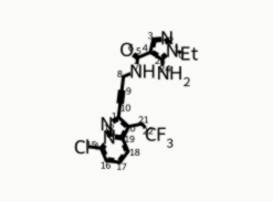 CCn1ncc(C(=O)NCC#Cc2nn3c(Cl)cccc3c2CC(F)(F)F)c1N